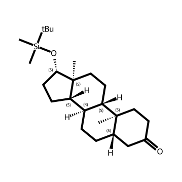 CC(C)(C)[Si](C)(C)O[C@H]1CC[C@H]2[C@@H]3CC[C@H]4CC(=O)CC[C@]4(C)[C@H]3CC[C@]12C